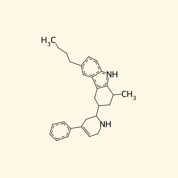 CCCCc1ccc2[nH]c3c(c2c1)CC(C1CC(c2ccccc2)=CCN1)CC3C